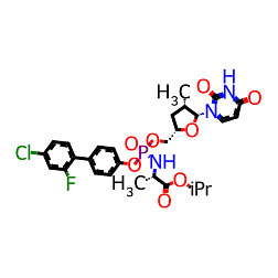 CC(C)OC(=O)[C@H](C)NP(=O)(OC[C@@H]1C[C@H](C)[C@H](n2ccc(=O)[nH]c2=O)O1)Oc1ccc(-c2ccc(Cl)cc2F)cc1